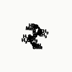 COc1cc(CCC[Si](C)(C)O[Si](C)(C)CCC2CCC(CC[Si](C)(C)O[Si](C)(C)CCCc3ccc(O)c(OC)c3)CC2)ccc1O